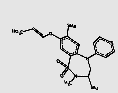 CCCCC1CN(c2ccncc2)c2cc(SC)c(O/C=C/C(=O)O)cc2S(=O)(=O)N1C